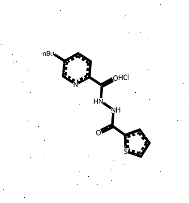 CCCCc1ccc(C(=O)NNC(=O)c2cccs2)nc1.Cl